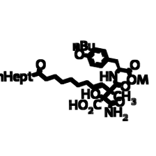 CCCCCCCC(=O)CCCCCC/C=C/[C@](C)(C(=O)N[C@@H](Cc1ccc(OCCCC)cc1)C(=O)OC)[C@](O)(C(N)=O)C(=O)O